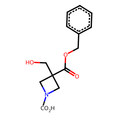 O=C(O)N1CC(CO)(C(=O)OCc2ccccc2)C1